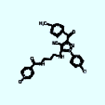 Cc1ccc(C(=O)c2nn(-c3ccc(Cl)cc3)c(NCCCNC(=O)c3cc[n+]([O-])cc3)c2C#N)cc1